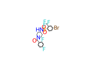 O=C(c1ccc(F)cc1F)N1CCC(NS(=O)(=O)c2ccc(Br)cc2C(F)(F)F)CC1